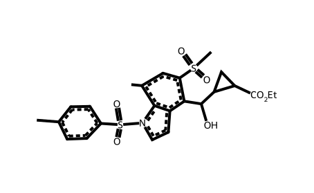 CCOC(=O)C1CC1C(O)c1c(S(C)(=O)=O)cc(C)c2c1ccn2S(=O)(=O)c1ccc(C)cc1